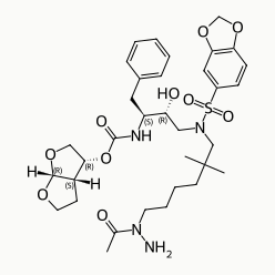 CC(=O)N(N)CCCCC(C)(C)CN(C[C@@H](O)[C@H](Cc1ccccc1)NC(=O)O[C@H]1CO[C@H]2OCC[C@H]21)S(=O)(=O)c1ccc2c(c1)OCO2